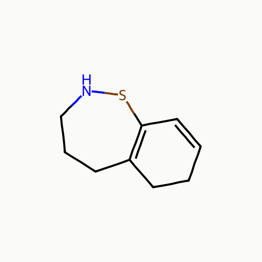 C1=CC2=C(CC1)CCCNS2